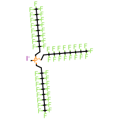 C[P+](CCC(F)(F)C(F)(F)C(F)(F)C(F)(F)C(F)(F)C(F)(F)C(F)(F)C(F)(F)F)(CCC(F)(F)C(F)(F)C(F)(F)C(F)(F)C(F)(F)C(F)(F)C(F)(F)C(F)(F)F)CCC(F)(F)C(F)(F)C(F)(F)C(F)(F)C(F)(F)C(F)(F)C(F)(F)C(F)(F)F.[I-]